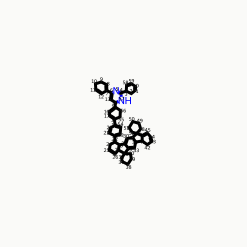 C1=CCC(C2=NC(C3=CCCC=C3)=CC(C3=CC=C(c4ccc(C5CC=CC6C5C5=CC7C(C=C5C65CCCCC5)C5CC=CC=C5C75CCCCC5)cc4)CC3)N2)C=C1